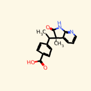 CC(c1ccc(C(=O)O)cc1)[C@@]1(C)C(=O)Nc2ncccc21